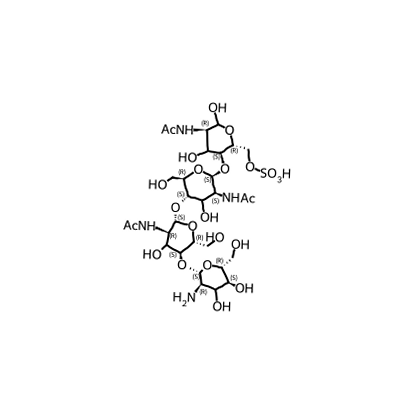 CC(=O)N[C@H]1C(O)O[C@H](COS(=O)(=O)O)[C@@H](O[C@@H]2O[C@H](CO)[C@@H](O[C@@H]3O[C@H](CO)[C@@H](O[C@@H]4O[C@H](CO)[C@@H](O)C(O)[C@H]4N)C(O)[C@H]3NC(C)=O)C(O)[C@@H]2NC(C)=O)C1O